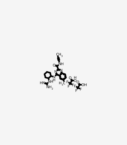 CC#CNC(=O)c1nc(NC2CCCCC2NC(=N)N)c2cc(C)ccc2n1.O=C(O)C(F)(F)F.O=C(O)C(F)(F)F